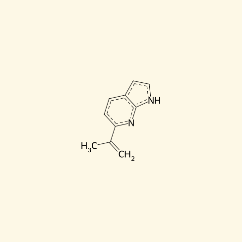 C=C(C)c1ccc2cc[nH]c2n1